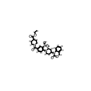 CCOC(=O)C1CCN(C(=O)c2ccc(N3CCC(N4C(=O)OCc5ccccc54)CC3)c([N+](=O)[O-])c2)CC1